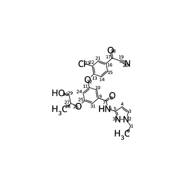 CCn1ccc(NC(=O)c2cc(Oc3ccc(C(=O)C#N)cc3Cl)cc(O[C@@H](C)CO)c2)n1